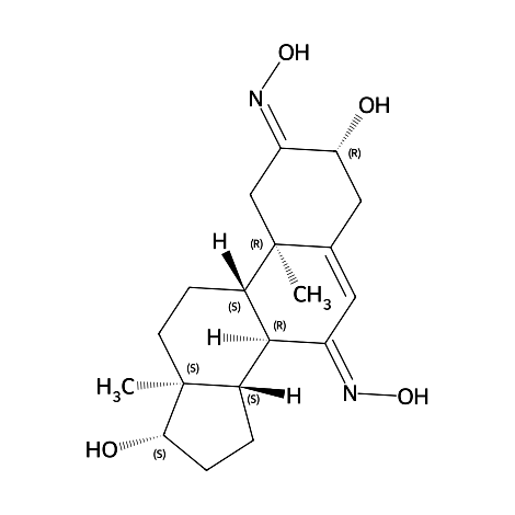 C[C@]12CC[C@H]3[C@@H](C(=NO)C=C4C[C@@H](O)C(=NO)C[C@@]43C)[C@@H]1CC[C@@H]2O